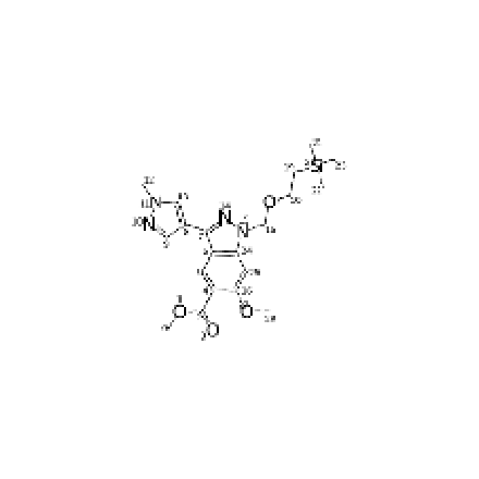 COC(=O)c1cc2c(-c3cnn(C)c3)nn(COCC[Si](C)(C)C)c2cc1OC